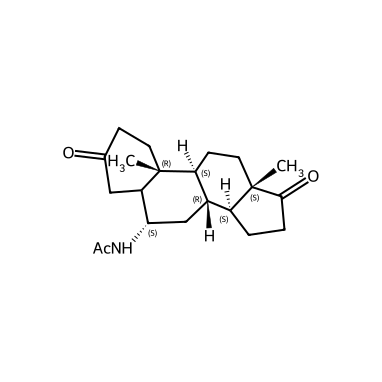 CC(=O)N[C@H]1C[C@@H]2[C@H](CC[C@]3(C)C(=O)CC[C@@H]23)[C@@]2(C)CCC(=O)CC12